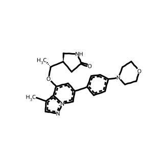 Cc1cnn2cc(-c3ccc(N4CCOCC4)cc3)cc(O[C@H](C)[C@H]3CNC(=O)C3)c12